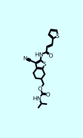 CC(C)NC(=O)OCC1CCc2c(sc(NC(=O)C=Cc3cccs3)c2C#N)C1